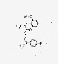 COc1ccccc1CN(C)C(=O)CCCN(C)c1ccc(F)cc1